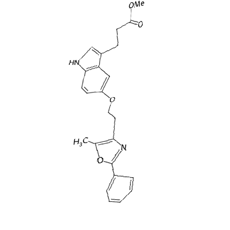 COC(=O)CCc1c[nH]c2ccc(OCCc3nc(-c4ccccc4)oc3C)cc12